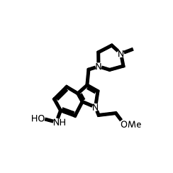 COCCn1cc(CN2CCN(C)CC2)c2ccc(NO)cc21